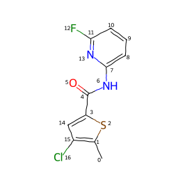 Cc1sc(C(=O)Nc2cccc(F)n2)cc1Cl